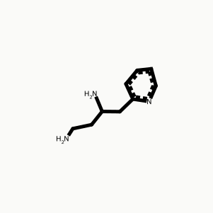 NCCC(N)Cc1ccccn1